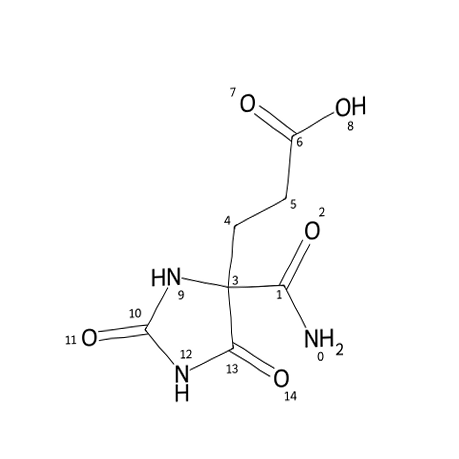 NC(=O)C1(CCC(=O)O)NC(=O)NC1=O